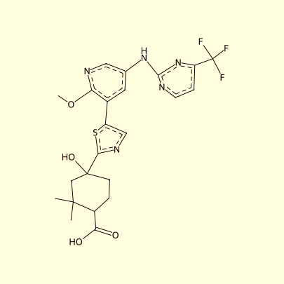 COc1ncc(Nc2nccc(C(F)(F)F)n2)cc1-c1cnc(C2(O)CCC(C(=O)O)C(C)(C)C2)s1